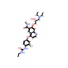 CCNC(=O)Nc1ccc(Oc2ccnc3cc(OC[C@H](O)CN(CC)CC)c(C(=O)NC)cc23)cc1Cl